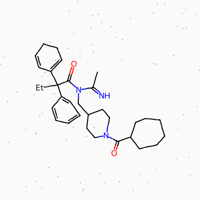 CCC(C(=O)N(CC1CCN(C(=O)C2CCCCCC2)CC1)C(C)=N)(C1=CCCC=C1)c1ccccc1